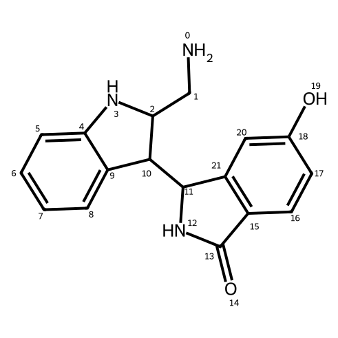 NCC1Nc2ccccc2C1C1NC(=O)c2ccc(O)cc21